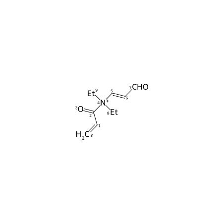 C=CC(=O)[N+](C=CC=O)(CC)CC